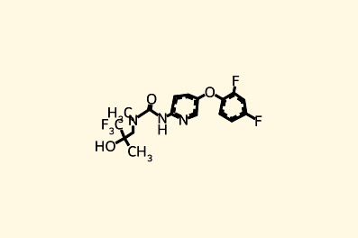 CN(CC(C)(O)C(F)(F)F)C(=O)Nc1ccc(Oc2ccc(F)cc2F)cn1